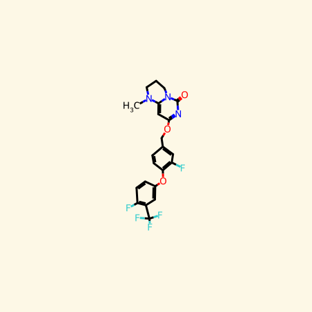 CN1CCCn2c1cc(OCc1ccc(Oc3ccc(F)c(C(F)(F)F)c3)c(F)c1)nc2=O